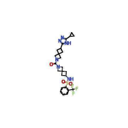 O=C(N1CC2(CC(NS(=O)(=O)c3ccccc3C(F)(F)F)C2)C1)N1CC2(CC(c3nnc(C4CC4)[nH]3)C2)C1